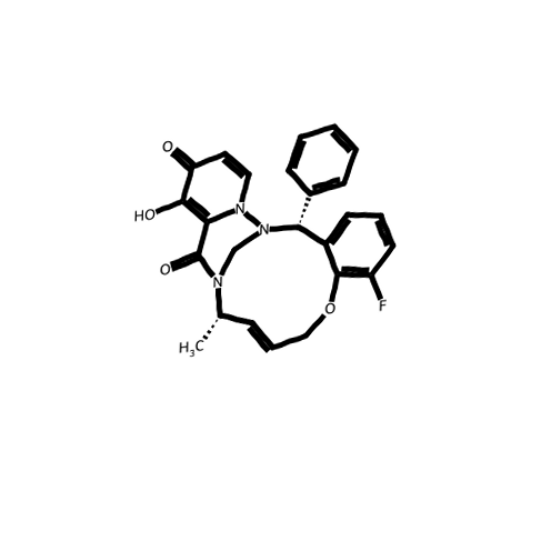 C[C@H]1/C=C/COc2c(F)cccc2[C@@H](c2ccccc2)N2CN1C(=O)c1c(O)c(=O)ccn12